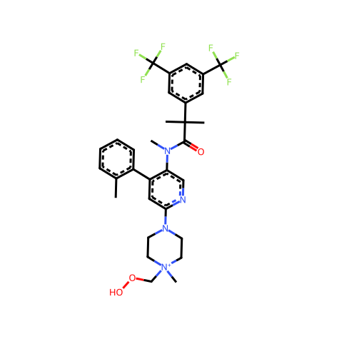 Cc1ccccc1-c1cc(N2CC[N+](C)(COO)CC2)ncc1N(C)C(=O)C(C)(C)c1cc(C(F)(F)F)cc(C(F)(F)F)c1